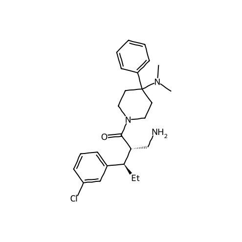 CC[C@@H](c1cccc(Cl)c1)[C@@H](CN)C(=O)N1CCC(c2ccccc2)(N(C)C)CC1